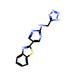 [c]1nc(NCc2nnn[nH]2)ncc1-c1nc2ccccc2s1